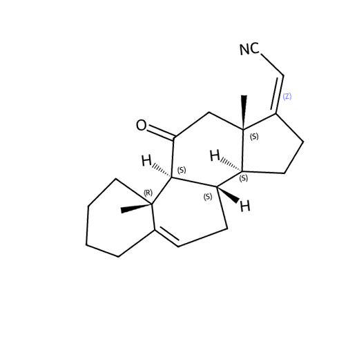 C[C@]12CCCCC1=CC[C@@H]1[C@@H]2C(=O)C[C@]2(C)/C(=C\C#N)CC[C@@H]12